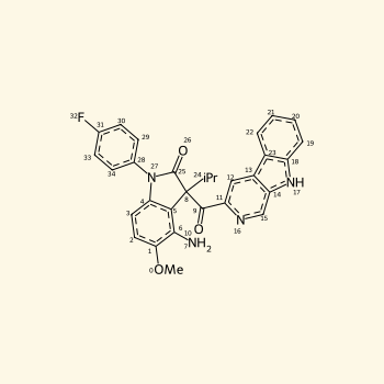 COc1ccc2c(c1N)C(C(=O)c1cc3c(cn1)[nH]c1ccccc13)(C(C)C)C(=O)N2c1ccc(F)cc1